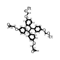 CCOCOc1ccc(C(c2ccc(OCOCC)cc2)C(c2ccc(OCC3CO3)cc2)c2ccc(OCC3CO3)cc2)cc1